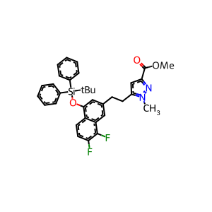 COC(=O)c1cc(CCc2cc(O[Si](c3ccccc3)(c3ccccc3)C(C)(C)C)c3ccc(F)c(F)c3c2)n(C)n1